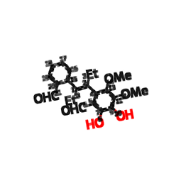 CCC(=C(CC)c1c(C=O)c(O)c(O)c(OC)c1OC)c1ccccc1C=O